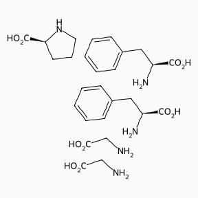 NCC(=O)O.NCC(=O)O.N[C@@H](Cc1ccccc1)C(=O)O.N[C@@H](Cc1ccccc1)C(=O)O.O=C(O)[C@@H]1CCCN1